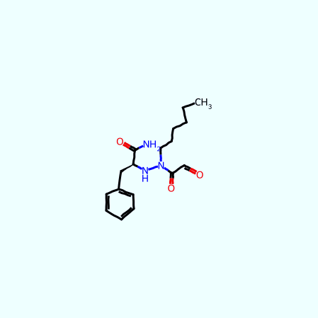 CCCCCCN(N[C@@H](Cc1ccccc1)C(N)=O)C(=O)C=O